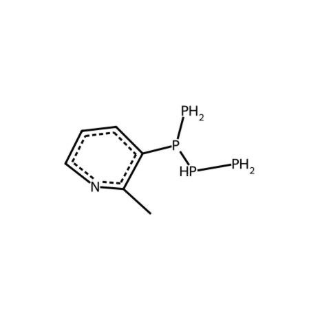 Cc1ncccc1P(P)PP